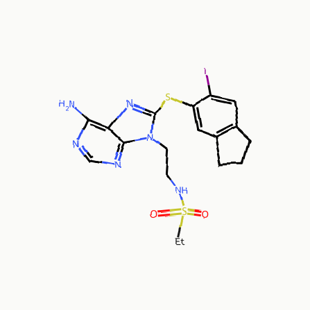 CCS(=O)(=O)NCCn1c(Sc2cc3c(cc2I)CCC3)nc2c(N)ncnc21